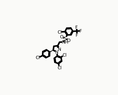 O=S(=O)(NCC1=NN(c2ccc(Cl)cc2Cl)[C@@H](c2ccc(Cl)cc2)C1)c1cc(C(F)(F)F)ccc1Cl